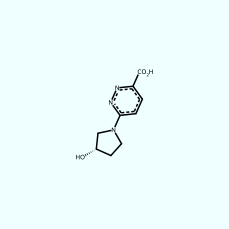 O=C(O)c1ccc(N2CC[C@H](O)C2)nn1